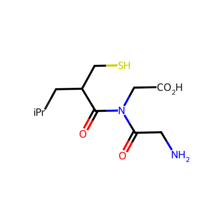 CC(C)CC(CS)C(=O)N(CC(=O)O)C(=O)CN